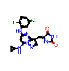 O=C1NC(=O)/C(=C/c2cnn3c(NC4CC4)cc(Nc4cc(Cl)ccc4F)nc23)N1